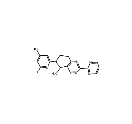 CC1c2cnc(-c3ncccn3)nc2CCN1c1cc(O)cc(F)n1